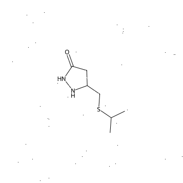 CC(C)SCC1CC(=O)NN1